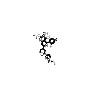 Cc1nc2cc([C@@H]3CCO[C@@H](c4ccn(C)n4)C3)nc(-c3ccc(Cl)cc3F)c2c(=O)n1C